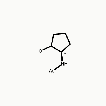 CC(=O)N[C@@H]1CCCC1O